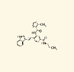 CCCNC(=O)c1ccc(/C=C/c2n[nH]c3ccccc23)c(NC(=O)c2sccc2C)c1